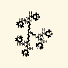 CN1C(C)(C)CC(Nc2nc(CCCCN(CCCCc3nc(NC4CC(C)(C)N(C)C(C)(C)C4)nc(NC4CC(C)(C)N(C)C(C)(C)C4)n3)CCCNc3nc(NC4CC(C)(C)N(C)C(C)(C)C4)nc(NC4CC(C)(C)N(C)C(C)(C)C4)n3)nc(NC3CC(C)(C)N(C)C(C)(C)C3)n2)CC1(C)C